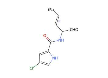 CC(C)(C)/C=C/C(C=O)NC(=O)c1cc(Cl)c[nH]1